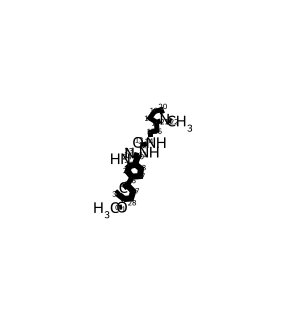 COc1ccc(-c2ccc3c(NC(=O)NCCC4CCCN4C)n[nH]c3c2)cc1